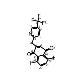 O=C1C=C(Cc2ccc(C(F)(F)F)cn2)C(=O)c2c(F)ccc(F)c21